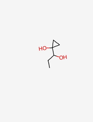 CCC(O)C1(O)CC1